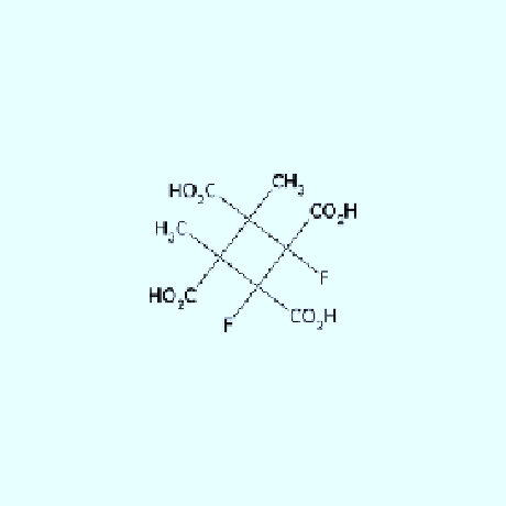 CC1(C(=O)O)C(C)(C(=O)O)C(F)(C(=O)O)C1(F)C(=O)O